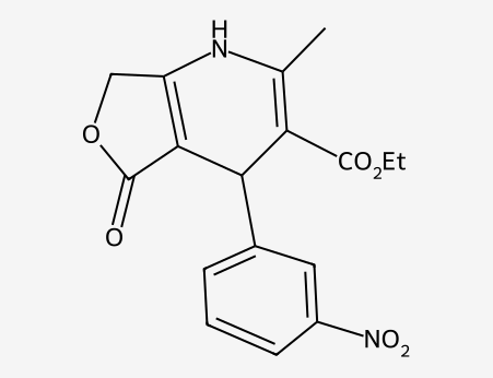 CCOC(=O)C1=C(C)NC2=C(C(=O)OC2)C1c1cccc([N+](=O)[O-])c1